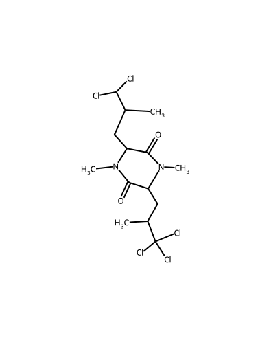 CC(CC1C(=O)N(C)C(CC(C)C(Cl)(Cl)Cl)C(=O)N1C)C(Cl)Cl